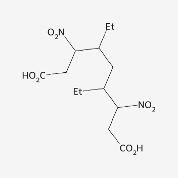 CCC(CC(CC)C(CC(=O)O)[N+](=O)[O-])C(CC(=O)O)[N+](=O)[O-]